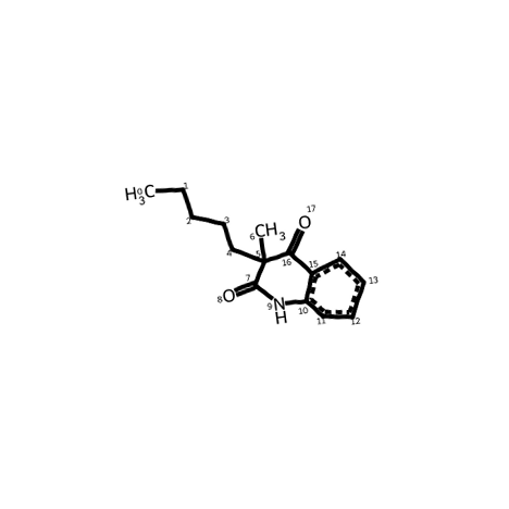 CCCCCC1(C)C(=O)Nc2ccccc2C1=O